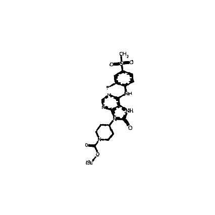 CC(C)(C)OC(=O)N1CCC(n2c(=O)[nH]c3c(Nc4ccc(S(C)(=O)=O)cc4F)ncnc32)CC1